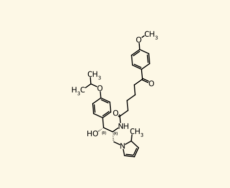 COc1ccc(C(=O)CCCCC(=O)N[C@H](CN2C=C=CC2C)[C@H](O)c2ccc(OC(C)C)cc2)cc1